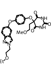 CCOCCn1cc2cc(Oc3ccc(OC4(CCOC)C(=O)NC(=O)NC4=O)cc3)ccc2n1